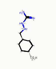 N=C(N)NNC[C@H]1CC[C@H](C(=O)O)CC1